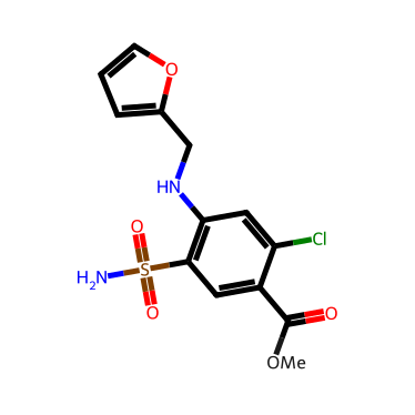 COC(=O)c1cc(S(N)(=O)=O)c(NCc2ccco2)cc1Cl